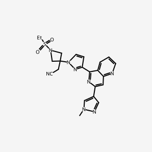 CCS(=O)(=O)N1CC(CC#N)(n2ccc(-c3nc(-c4cnn(C)c4)cc4ncccc34)n2)C1